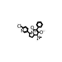 CN(C)C1C([O-])=C(c2ccccc2)C(=O)[N+]2=C1CCC2c1ccc(Cl)nc1